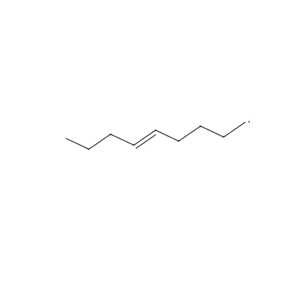 [CH2]CCCC=CCCC